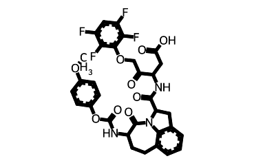 COc1ccc(OC(=O)NC2CCc3cccc4c3N(C2=O)C(C(=O)NC(CC(=O)O)C(=O)COc2c(F)c(F)cc(F)c2F)C4)cc1